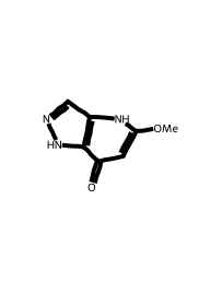 COc1cc(=O)c2[nH]ncc2[nH]1